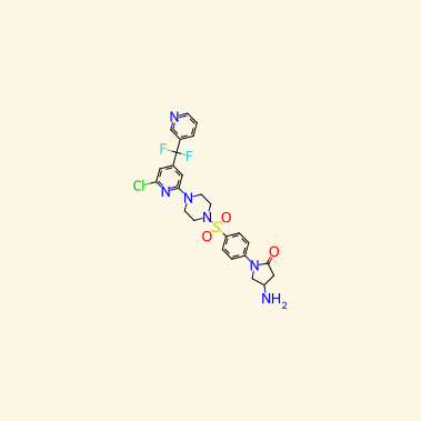 NC1CC(=O)N(c2ccc(S(=O)(=O)N3CCN(c4cc(C(F)(F)c5cccnc5)cc(Cl)n4)CC3)cc2)C1